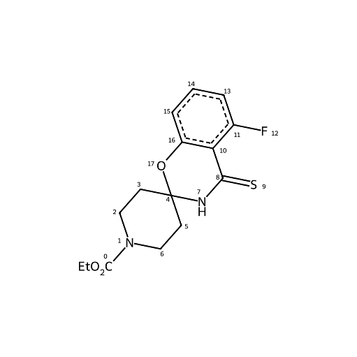 CCOC(=O)N1CCC2(CC1)NC(=S)c1c(F)cccc1O2